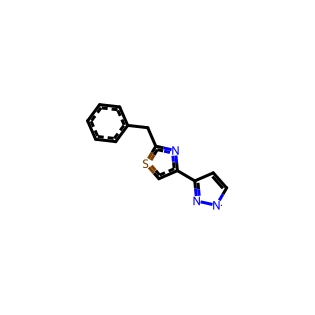 C1=CC(c2csc(Cc3ccccc3)n2)=N[N]1